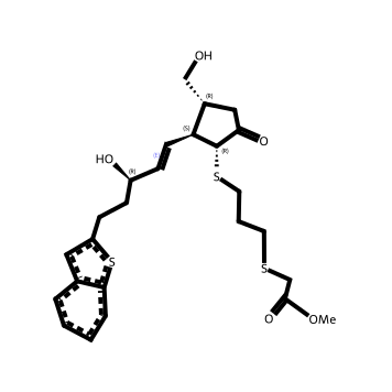 COC(=O)CSCCCS[C@H]1C(=O)C[C@@H](CO)[C@@H]1/C=C/[C@H](O)CCc1cc2ccccc2s1